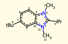 CC(C)c1n(C)c2ccc(C(C)(C)C)cc2[n+]1C